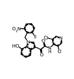 O=C(Nc1c(Cl)cncc1Cl)C(=O)c1cn(Cc2c(F)cccc2[N+](=O)[O-])c2c(O)cccc12